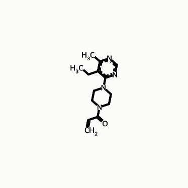 C=CC(=O)N1CCN(c2ncnc(C)c2CC)CC1